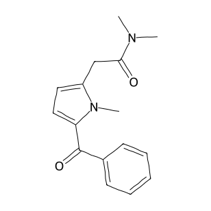 CN(C)C(=O)Cc1ccc(C(=O)c2ccccc2)n1C